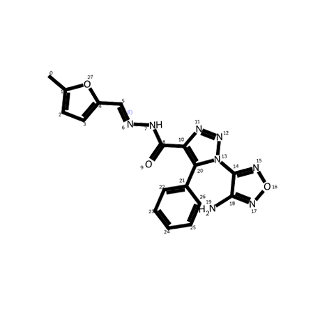 Cc1ccc(/C=N/NC(=O)c2nnn(-c3nonc3N)c2-c2ccccc2)o1